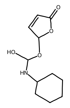 O=C1C=CC(OC(O)NC2CCCCC2)O1